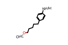 CC(=O)Nc1ccc(CCCCCOC=O)cc1